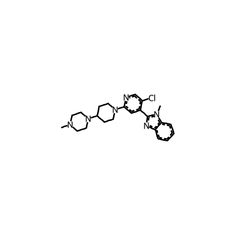 CN1CCN(C2CCN(c3cc(-c4nc5ccccc5n4C)c(Cl)cn3)CC2)CC1